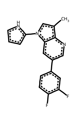 Cc1cn(-c2ccc[nH]2)c2cc(-c3ccc(F)c(F)c3)cnc12